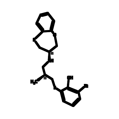 CCc1cccc(SC[C@@H](C)CN[C@@H]2COc3ccccc3SC2)c1O